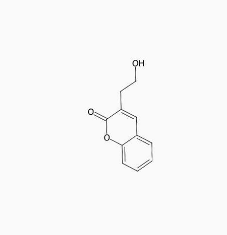 O=c1oc2ccccc2cc1CCO